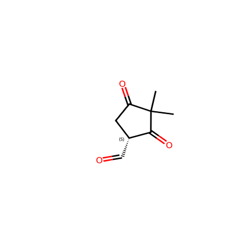 CC1(C)C(=O)C[C@@H](C=O)C1=O